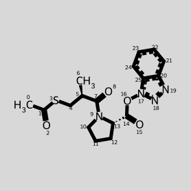 CC(=O)SC[C@@H](C)C(=O)N1CCC[C@H]1C(=O)On1nnc2ccccc21